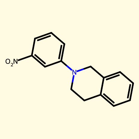 O=[N+]([O-])c1cccc(N2CCc3ccccc3C2)c1